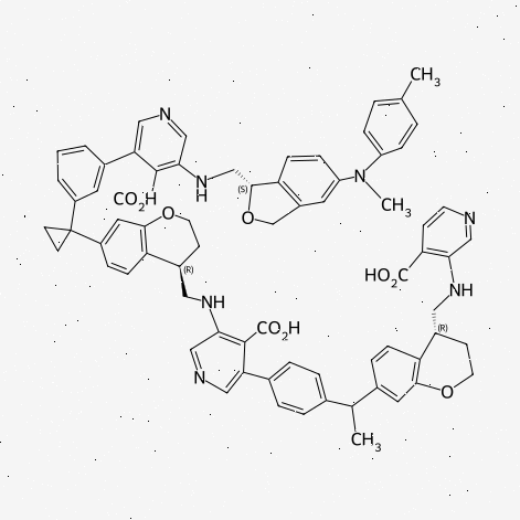 Cc1ccc(N(C)c2ccc3c(c2)CO[C@@H]3CNc2cncc(-c3cccc(C4(c5ccc6c(c5)OCC[C@H]6CNc5cncc(-c6ccc(C(C)c7ccc8c(c7)OCC[C@H]8CNc7cnccc7C(=O)O)cc6)c5C(=O)O)CC4)c3)c2C(=O)O)cc1